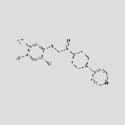 Cc1cc(SCC(=O)N2CCN(c3ccncc3)CC2)c(Cl)cc1Cl